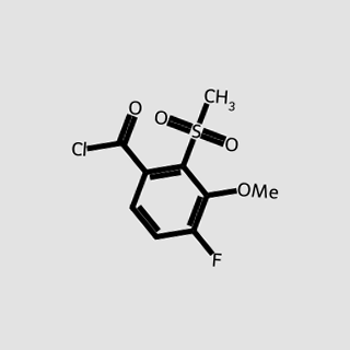 COc1c(F)ccc(C(=O)Cl)c1S(C)(=O)=O